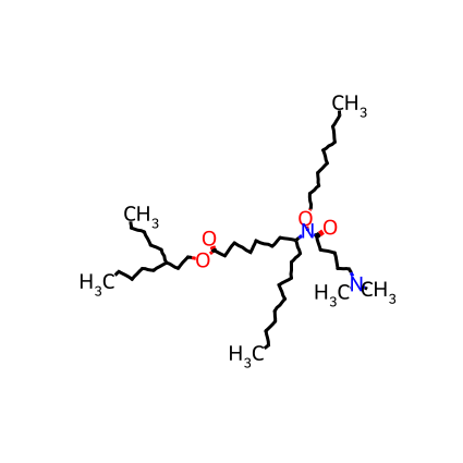 CCCCCCCCCCON(C(=O)CCCCN(C)C)C(CCCCCCCCCC)CCCCCCC(=O)OCCC(CCCCC)CCCCC